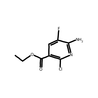 CCOC(=O)c1cc(F)c(N)nc1Cl